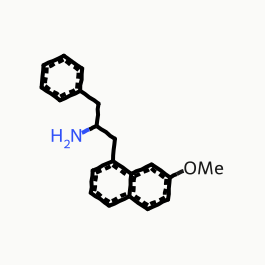 COc1ccc2cccc(CC(N)Cc3ccccc3)c2c1